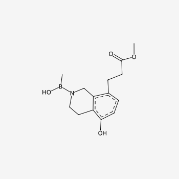 COC(=O)CCc1ccc(O)c2c1CN(B(C)O)CC2